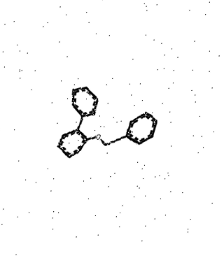 [c]1cccc(-c2ccccc2)c1OCc1ccccc1